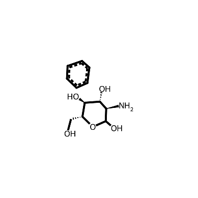 N[C@H]1C(O)O[C@H](CO)[C@@H](O)[C@@H]1O.c1ccccc1